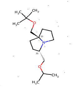 CC(C)OC[C@@H]1CC[C@]2(COC(C)(C)C)CCCN12